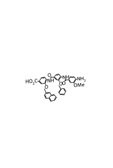 COc1cc(C(=O)Nc2ccc(C(=O)Nc3ccc(C(=O)O)cc3OCc3ccc4ccccc4c3)cc2OCc2ccccc2)ccc1N